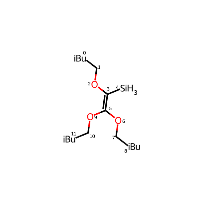 CCC(C)COC([SiH3])=C(OCC(C)CC)OCC(C)CC